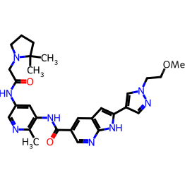 COCCn1cc(-c2cc3cc(C(=O)Nc4cc(NC(=O)CN5CCCC5(C)C)cnc4C)cnc3[nH]2)cn1